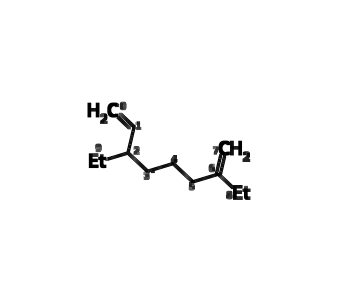 C=CC([CH]CCC(=C)CC)CC